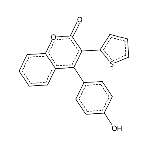 O=c1oc2ccccc2c(-c2ccc(O)cc2)c1-c1cccs1